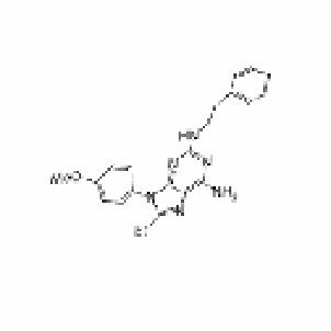 CCc1nc2c(N)nc(NCCc3ccccc3)nc2n1-c1ccc(OC)cc1